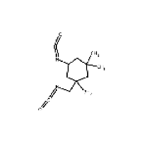 BC1(CN=C=O)CC(N=C=O)CC(C)(C)C1